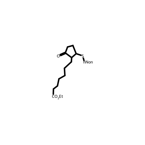 CCCCCCCCCSC1CCC(=O)C1CCCCCCC(=O)OCC